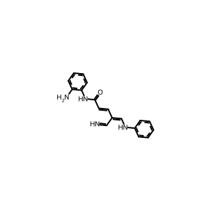 N=CC(=C\Nc1ccccc1)/C=C/C(=O)Nc1ccccc1N